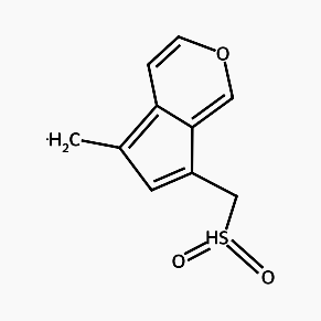 [CH2]c1cc(C[SH](=O)=O)c2coccc1-2